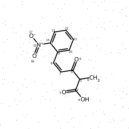 CC(C(=O)O)C(=O)/C=C\c1ccccc1[N+](=O)[O-]